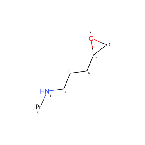 CC(C)NCCCC1CO1